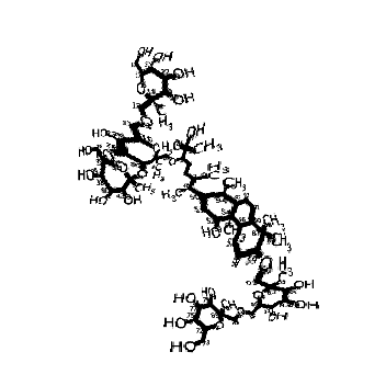 CC(CCC(OC[C@@]1(C)OC(COC[C@@]2(C)OC(CO)[C@H](O)C(O)C2O)[C@H](O)C(O)C1OC1(C)OC(CO)[C@H](O)C(O)C1O)C(C)(C)O)[C@H](C)C1CC(O)[C@]2(C)C3CCC(OCC4(C)OC(COCC5(C)OC(CO)[C@@H](O)C(O)C5O)[C@@H](O)C(O)C4O)C(C)(C)C3=CCC2[C@H]1C